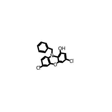 Oc1cc(Cl)cc2c1N(Cc1ccccc1)c1ccc(Cl)cc1O2